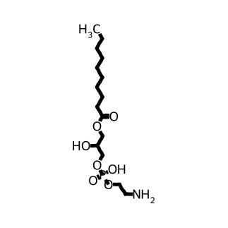 CCCCCCCCCC(=O)OCC(O)COP(=O)(O)OCCN